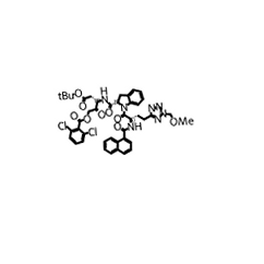 COCn1nnc(CC[C@H](NC(=O)c2cccc3ccccc23)C(=O)N2c3ccccc3C[C@H]2C(=O)N[C@@H](CC(=O)OC(C)(C)C)C(=O)COC(=O)c2c(Cl)cccc2Cl)n1